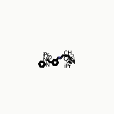 CC(C)Oc1nc2ccccc2nc1-c1cccc(/C=C/CC(C)(C)Cc2nnc(C(C)C)o2)c1